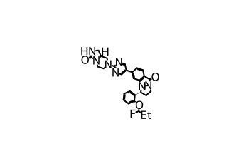 CCC(F)Oc1ccccc1[C@H]1CCn2c(=O)c3ccc(-c4cnc(N5CCN6C(=O)NC[C@@H]6C5)nc4)cc3n21